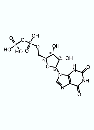 O=c1[nH]c(=O)c2ncn([C@H]3O[C@@H](COP(=O)(O)OP(=O)(O)O)[C@H](O)[C@@H]3O)c2[nH]1